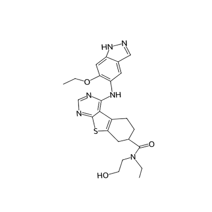 CCOc1cc2[nH]ncc2cc1Nc1ncnc2sc3c(c12)CCC(C(=O)N(CC)CCO)C3